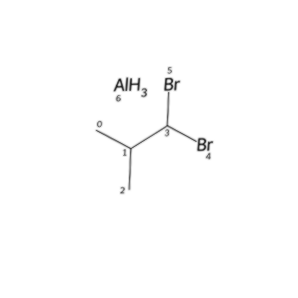 CC(C)C(Br)Br.[AlH3]